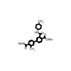 CNC(=O)c1ccc(-c2ccc(C(=O)OC)c(C(=O)N[C@H]3CC[C@H](C)CC3)c2)cc1C